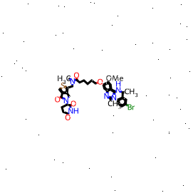 COc1cc2c(NC(C)c3cccc(Br)c3)nc(C)nc2cc1OCCCCCC(=O)N(C)Cc1scc2c1CN(C1CCC(=O)NC1=O)C2=O